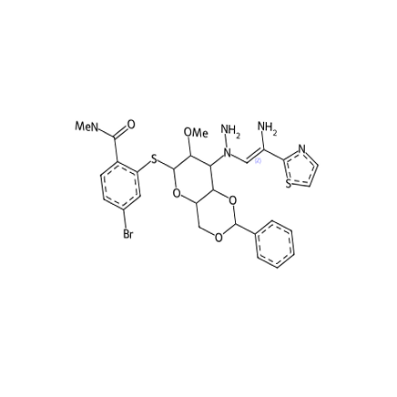 CNC(=O)c1ccc(Br)cc1SC1OC2COC(c3ccccc3)OC2C(N(N)/C=C(\N)c2nccs2)C1OC